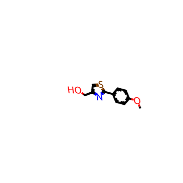 COc1ccc(-c2nc(CO)cs2)cc1